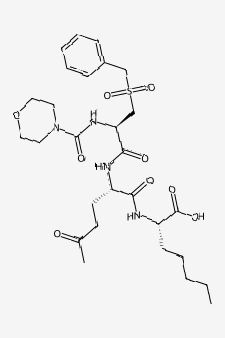 CCCCC[C@H](NC(=O)[C@H](CCC(C)=O)NC(=O)[C@H](CS(=O)(=O)Cc1ccccc1)NC(=O)N1CCOCC1)C(=O)O